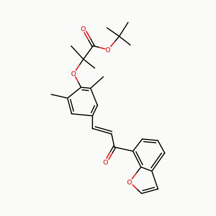 Cc1cc(/C=C/C(=O)c2cccc3ccoc23)cc(C)c1OC(C)(C)C(=O)OC(C)(C)C